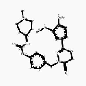 COc1ccc(C2=NN(Cc3ccc(NC(=O)OC4CCN(C)CC4)cc3)C(=O)CC2)cc1OC(C)C